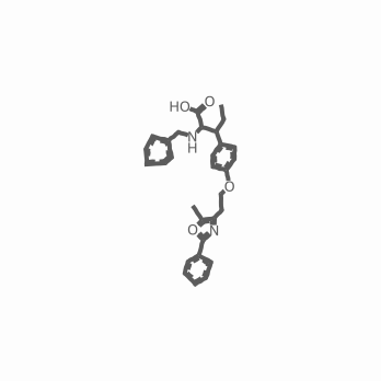 CCC(c1ccc(OCCc2nc(-c3ccccc3)oc2C)cc1)C(NCc1ccccc1)C(=O)O